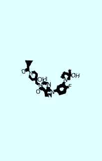 CC1(O)CCN(c2cc(-n3ncc4c(=O)n(CC5(O)CCN(C(=O)C6CC6)CC5)cnc43)ccc2F)C1